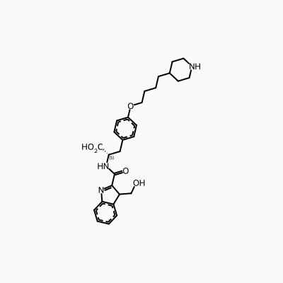 O=C(N[C@@H](Cc1ccc(OCCCCC2CCNCC2)cc1)C(=O)O)C1=Nc2ccccc2C1CO